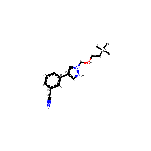 C[Si](C)(C)CCOCn1cc(-c2cccc(C#N)c2)cn1